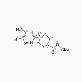 CC(C)(C)OC(=O)N1CCC(F)(c2cc(N)c(F)cn2)CC1